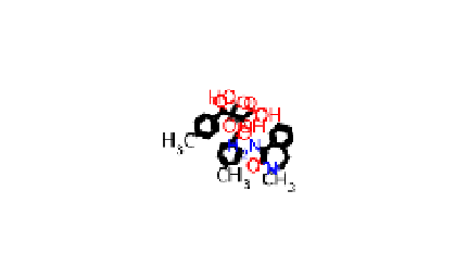 CN1CCc2ccccc2[C@H](N)C1=O.Cc1ccc(C(=O)O[C@](C(=O)O)(C(=O)c2ccc(C)cc2)[C@@H](O)C(=O)O)cc1